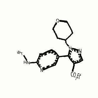 CCOC(=O)c1cnn(C2CCOCC2)c1-c1ccc(NC(C)C)nc1